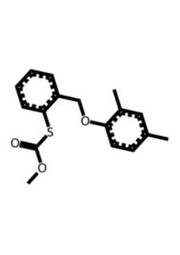 COC(=O)Sc1ccccc1COc1ccc(C)cc1C